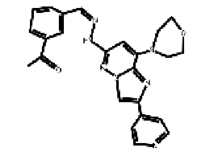 CC(=O)c1cccc(/C=N\Nc2cc(N3CCOCC3)c3nc(-c4ccncc4)cn3n2)c1